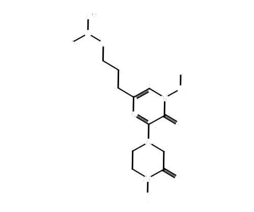 COB(I)SCCCc1cn(SF)c(=O)c(N2CCN(C)C(=O)C2)n1